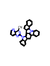 N#Cc1nc(-n2c3ccccc3c3cc4c5ccccc5n5c6c7ccccc7ccc6c(c32)c45)nc2cccnc12